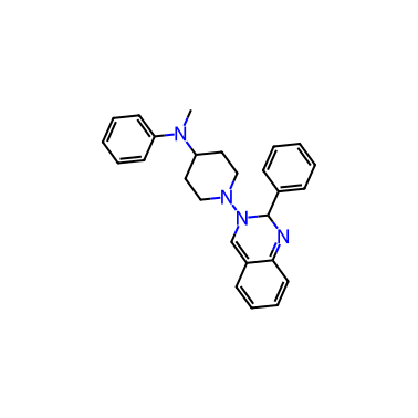 CN(c1ccccc1)C1CCN(N2C=c3ccccc3=NC2c2ccccc2)CC1